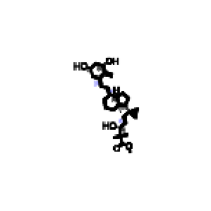 C=C1/C(=C\C=C2/CCC[C@]3(C)[C@@H](C4(/C=C/[C@@H](O)C(C)(C)C(=O)OC)CC4)CC[C@@H]23)C[C@@H](O)C[C@@H]1O